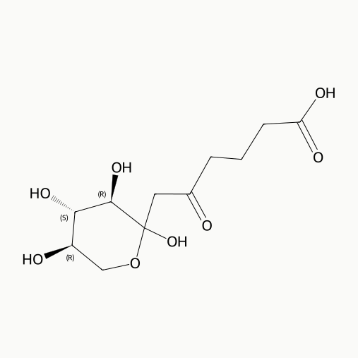 O=C(O)CCCC(=O)CC1(O)OC[C@@H](O)[C@H](O)[C@H]1O